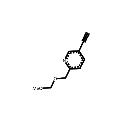 C#Cc1ccc(COCOC)nc1